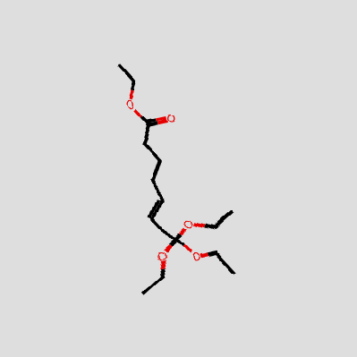 CCOC(=O)CCCC=CC(OCC)(OCC)OCC